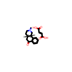 CN1CC[C@H]2CC(=O)c3ccccc3[C@H]2C1.O=C(O)C=CC(=O)O